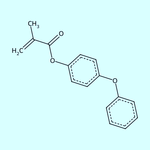 C=C(C)C(=O)Oc1ccc(Oc2ccccc2)cc1